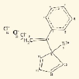 C=C(c1ccccc1)[C]1([Ti+3])C=CC=C1.[Cl-].[Cl-].[Cl-]